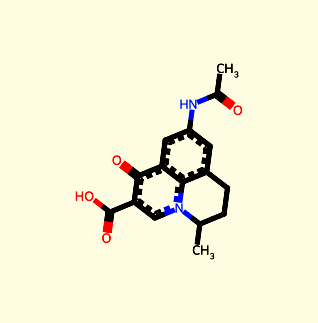 CC(=O)Nc1cc2c3c(c1)c(=O)c(C(=O)O)cn3C(C)CC2